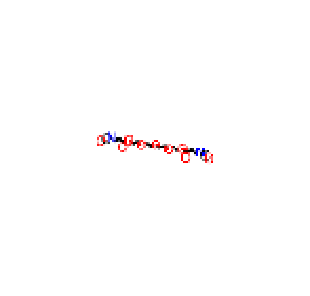 O=C=NCCC(=O)OCCOCCOCCOCCOC(=O)CCN=C=O